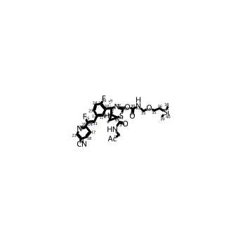 CC(=O)CNC(=O)[C@]12C[C@H]1[C@@](C)(c1cc(/C=C(\F)c3ccc(C#N)cn3)ccc1F)N=C(OC(=O)NCOCC[Si](C)(C)C)S2